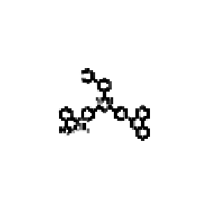 C/C(c1ccc(-c2cc(-c3ccc(-c4cc5ccccc5c5ccccc45)cc3)nc(-c3cccc(-c4ccccc4)c3)n2)cc1)=c1/cccc/c1=C/N